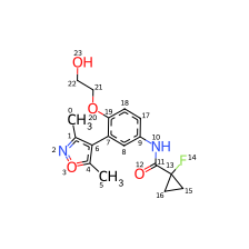 Cc1noc(C)c1-c1cc(NC(=O)C2(F)CC2)ccc1OCCO